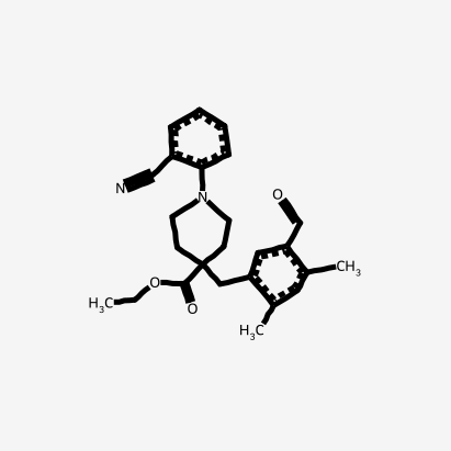 CCOC(=O)C1(Cc2cc(C=O)c(C)cc2C)CCN(c2ccccc2C#N)CC1